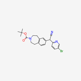 CC(C)(C)OC(=O)N1CCc2ccc(C(C#N)c3ccc(Br)cn3)cc2CC1